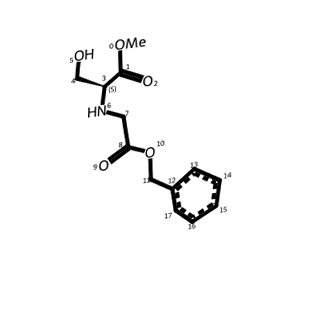 COC(=O)[C@H](CO)NCC(=O)OCc1ccccc1